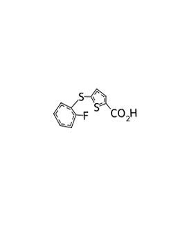 O=C(O)c1ccc(Sc2ccccc2F)s1